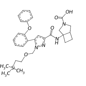 C[Si](C)(C)CCOCn1nc(C(=O)NC23CCC2CN(C(=O)O)C3)cc1-c1ccccc1Oc1ccccc1